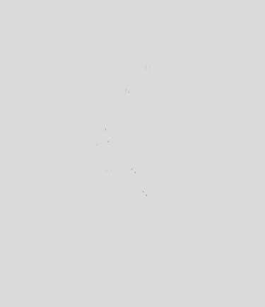 CS(=O)(=O)N1CCC(C23CC(C2)C3CC(=O)Nc2nc(-c3ccccc3Cl)cs2)CC1